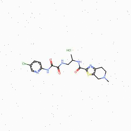 CC(CNC(=O)C(=O)Nc1ccc(Cl)cn1)NC(=O)c1nc2c(s1)CN(C)CC2.Cl